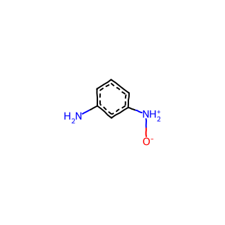 Nc1cccc([NH2+][O-])c1